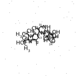 CC(C)n1c(C(C)(C)O)nc2c(F)cc(-c3nc(N[C@H]4[C@H](O)[C@@H]5OC[C@@H](O5)C4(F)F)ncc3Cl)cc21